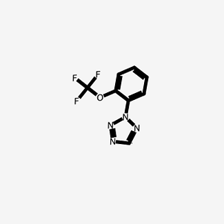 FC(F)(F)Oc1ccccc1-n1n[c]nn1